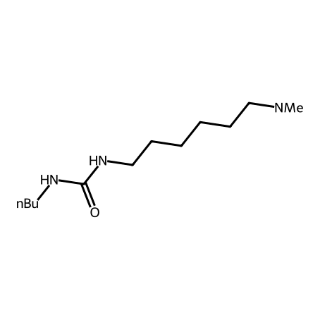 CCCCNC(=O)NCCCCCCNC